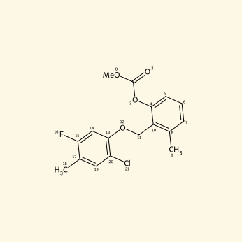 COC(=O)Oc1cccc(C)c1COc1cc(F)c(C)cc1Cl